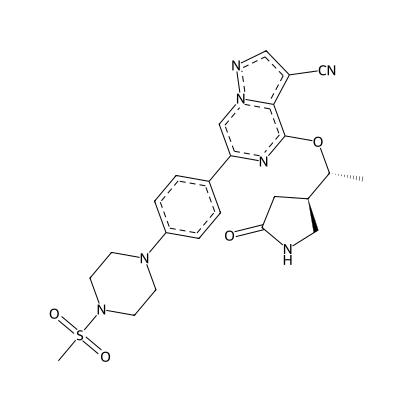 C[C@@H](Oc1nc(-c2ccc(N3CCN(S(C)(=O)=O)CC3)cc2)cn2ncc(C#N)c12)[C@H]1CNC(=O)C1